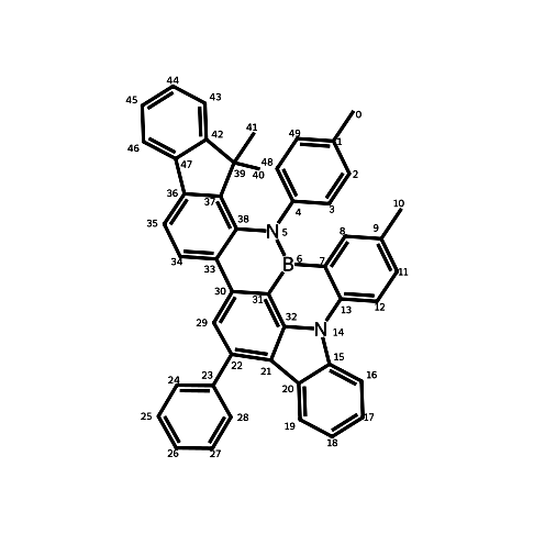 Cc1ccc(N2B3c4cc(C)ccc4-n4c5ccccc5c5c(-c6ccccc6)cc(c3c54)-c3ccc4c(c32)C(C)(C)c2ccccc2-4)cc1